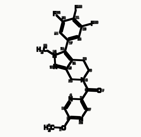 COc1cnc(C(=O)N2CCc3c(nn(C)c3-c3cc(F)c(F)c(F)c3)C2)cn1